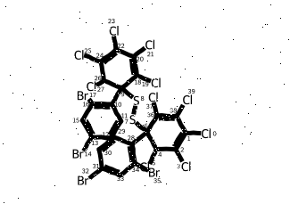 ClC1=C(Cl)C(Cl)C(SSC2(c3ccc(Br)cc3Br)C(Cl)=C(Cl)C(Cl)=C(Cl)C2Cl)(c2ccc(Br)cc2Br)C(Cl)=C1Cl